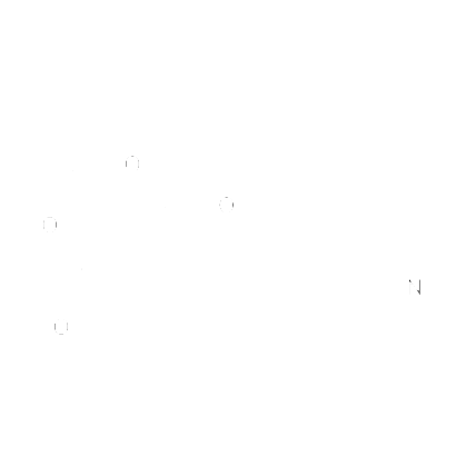 CN(C)c1ccc(CC2C(=O)OC(C)(C)OC2=O)cc1